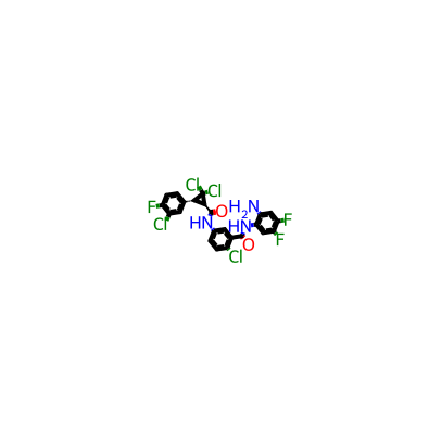 Nc1cc(F)c(F)cc1NC(=O)c1cc(NC(=O)[C@H]2[C@H](c3ccc(F)c(Cl)c3)C2(Cl)Cl)ccc1Cl